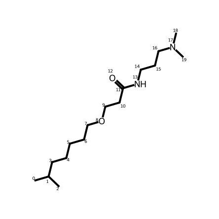 CC(C)CCCCCOCCC(=O)NCCCN(C)C